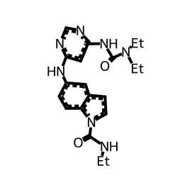 CCNC(=O)n1ccc2cc(Nc3cc(NC(=O)N(CC)CC)ncn3)ccc21